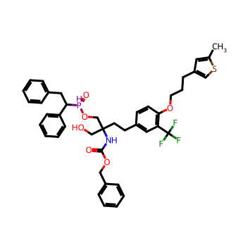 Cc1cc(CCCOc2ccc(CCC(CO)(CO[PH](=O)C(Cc3ccccc3)c3ccccc3)NC(=O)OCc3ccccc3)cc2C(F)(F)F)cs1